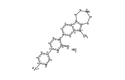 Cl.Cn1c2c(c3ccc(-n4ccc(-c5ccc(C(F)(F)F)nc5)nc4=O)cc31)CCNCC2